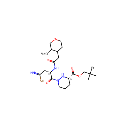 CCC(C)(C)COC(=O)[C@@H]1CCCN(C(=O)[C@H](CC(=N)S)NC(=O)CC2CCOCC2OC)N1